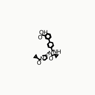 O=C(O)c1cccc(C2C=CC(C3NC4(CC4)C(=O)N3C[C@@H]3CCN(C(=O)C4CC4)C3)=CC2)c1